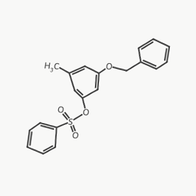 Cc1cc(OCc2ccccc2)cc(OS(=O)(=O)c2ccccc2)c1